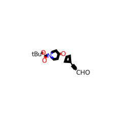 CC(C)(C)OC(=O)N1CCC(O[C@H]2C[C@H](C#CC=O)C2)CC1